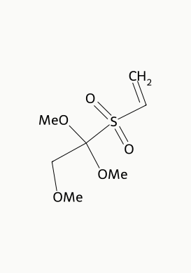 C=CS(=O)(=O)C(COC)(OC)OC